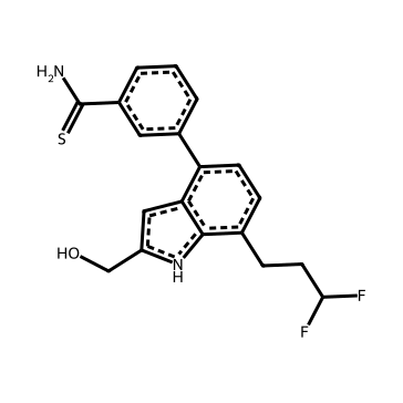 NC(=S)c1cccc(-c2ccc(CCC(F)F)c3[nH]c(CO)cc23)c1